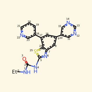 CCNC(=O)Nc1nc2cc(-c3cncnc3)cc(-c3cccnc3)c2s1